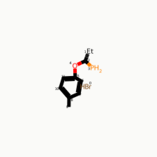 Br.CCC(P)Oc1ccc(C)cc1